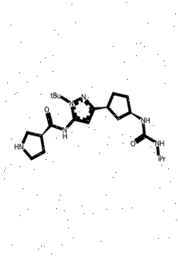 CC(C)NC(=O)N[C@@H]1CC[C@H](c2cc(NC(=O)[C@H]3CCNC3)n(C(C)(C)C)n2)C1